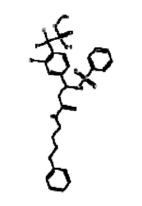 CCC(C)OP(=O)(O)C(F)(F)c1ccc(C(CC(=O)NCCCCc2ccccc2)NS(=O)(=O)c2ccccc2)cc1Br